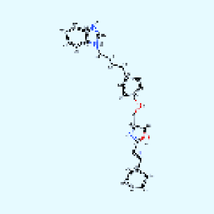 C(=C\c1nc(COc2ccc(CCCCn3cnc4ccccc43)cc2)co1)/c1ccccc1